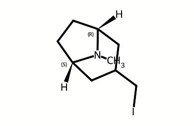 CN1[C@@H]2CC[C@H]1CC(CI)C2